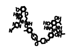 CCNC(=O)C(=N)N(C(=N)c1cc(C(C)C)c(O)cc1O)c1ccc(CN2CCC(C(=O)N3CCN(c4ccc(ONCCCOc5cccc(OC)c5-c5cc(Nc6cnc(C#N)cn6)n[nH]5)c(C)c4)CC3)CC2)cc1